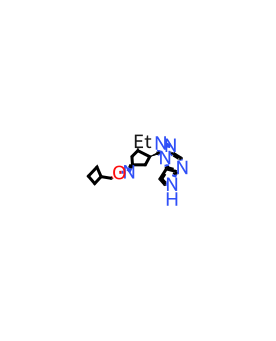 CC[C@@H]1CC(=NOCC2CCC2)C[C@@H]1c1nnc2cnc3[nH]ccc3n12